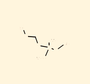 CCCO[Si](OC)(OC)OCOCC